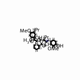 CO[C@H]1C[C@@H](C)[C@](O)(C(=O)C(=O)N2CCCC[C@H]2C(=O)OC(/C(C)=C/[C@@H]2CC[C@@H](O)[C@H](OC)C2)C(C)C)C[C@@H]1C(C)C